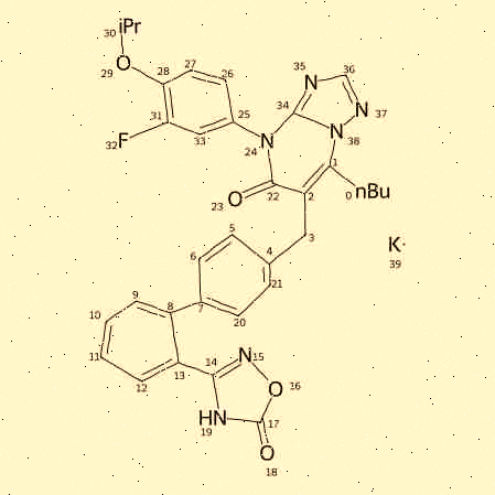 CCCCc1c(Cc2ccc(-c3ccccc3-c3noc(=O)[nH]3)cc2)c(=O)n(-c2ccc(OC(C)C)c(F)c2)c2ncnn12.[K]